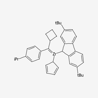 CC(C)c1ccc([C](C2CCC2)=[Zr]([CH]2C=CC=C2)[CH]2c3cc(C(C)(C)C)ccc3-c3ccc(C(C)(C)C)cc32)cc1